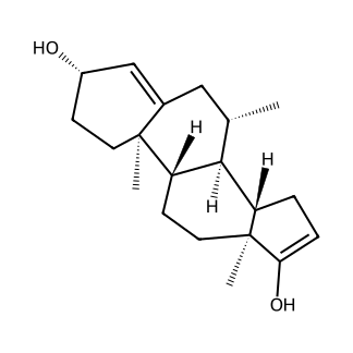 C[C@H]1CC2=C[C@@H](O)CC[C@]2(C)[C@H]2CC[C@]3(C)C(O)=CC[C@H]3[C@H]12